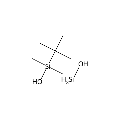 CC(C)(C)[Si](C)(C)O.O[SiH3]